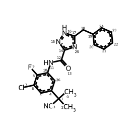 CC(C)(C#N)c1cc(Cl)c(F)c(NC(=O)c2n[nH]c(Cc3ccccc3)n2)c1